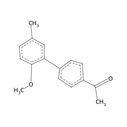 COc1ccc(C)cc1-c1ccc(C(C)=O)cc1